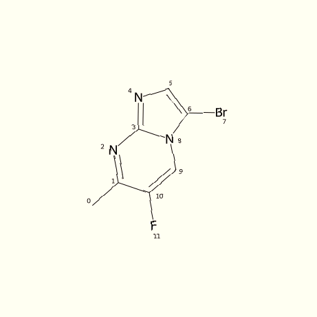 Cc1nc2ncc(Br)n2cc1F